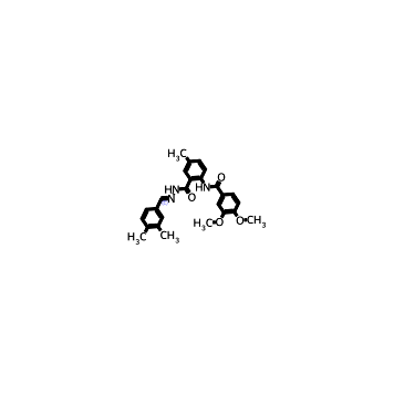 COc1ccc(C(=O)Nc2ccc(C)cc2C(=O)N/N=C/c2ccc(C)c(C)c2)cc1OC